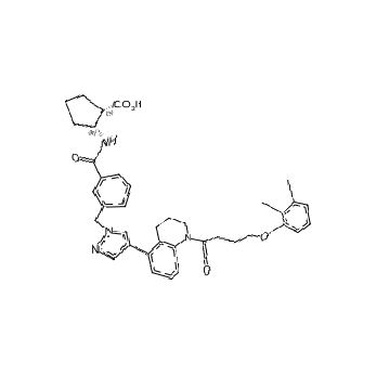 Cc1cccc(OCCCC(=O)N2CCCc3c(-c4cnn(Cc5cccc(C(=O)N[C@@H]6CCC[C@@H]6C(=O)O)c5)c4)cccc32)c1C